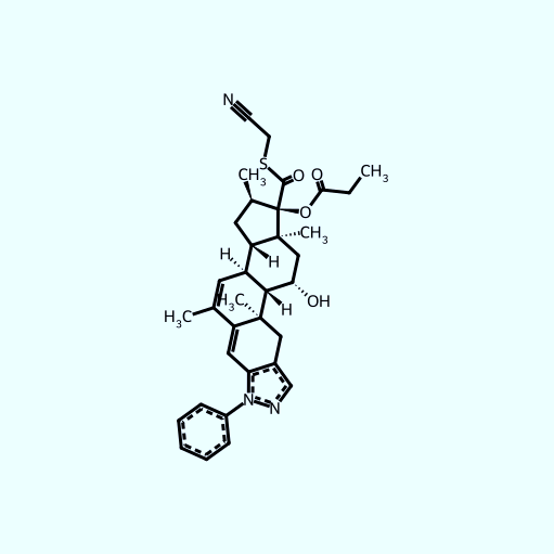 CCC(=O)O[C@]1(C(=O)SCC#N)[C@H](C)C[C@H]2[C@@H]3C=C(C)C4=Cc5c(cnn5-c5ccccc5)C[C@]4(C)[C@H]3[C@@H](O)C[C@@]21C